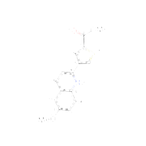 COC(=O)c1cc(-c2ccc3cc(OC)ccc3n2)cs1